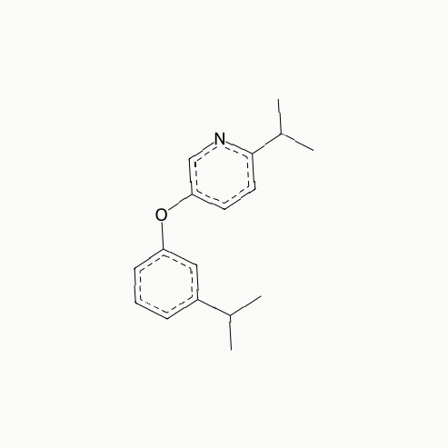 CC(C)c1cccc(Oc2ccc(C(C)C)nc2)c1